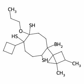 BC1(C23CC(C)C2(C)C3)CCC(S)(OCCC)C(S)(C2CCC2)CCC1S